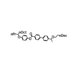 CCCCCCCCCCCCOC(C)c1ccc(-c2ccc(C(=O)Oc3ccc(OC(CCC)CCCCCCCC)cc3)cc2)cc1